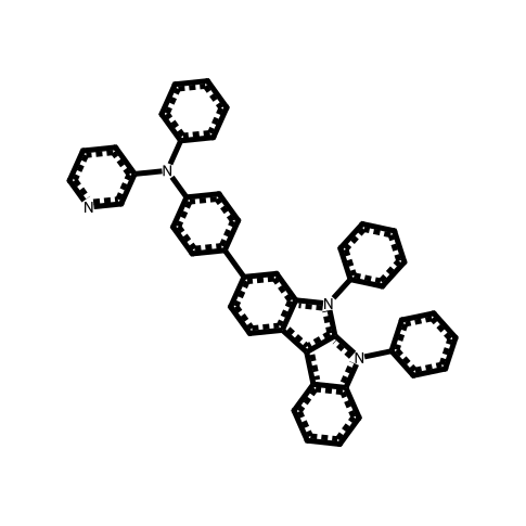 c1ccc(N(c2ccc(-c3ccc4c5c6ccccc6n(-c6ccccc6)c5n(-c5ccccc5)c4c3)cc2)c2cccnc2)cc1